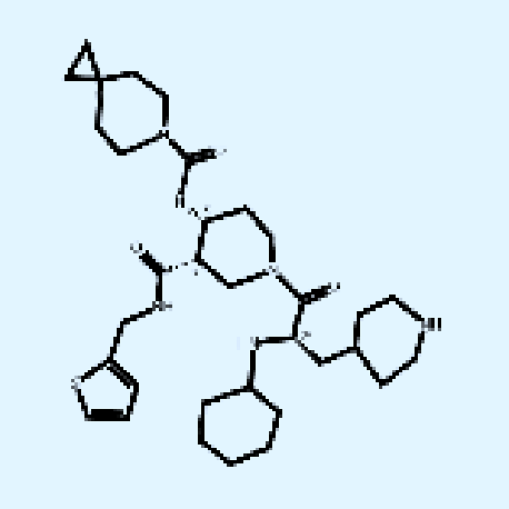 O=C(NCc1cccs1)[C@H]1CN(C(=O)[C@@H](CC2CCNCC2)NC2CCCCC2)CC[C@H]1NC(=O)N1CCC2(CC1)CC2